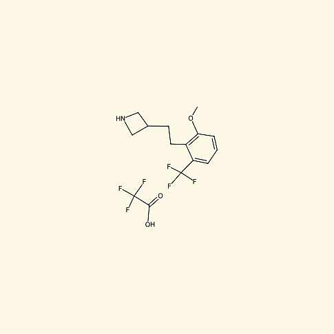 COc1cccc(C(F)(F)F)c1CCC1CNC1.O=C(O)C(F)(F)F